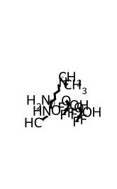 C#CCNC(=O)[C@@H](N)CCCCN(C)C.O=C(O)C(F)(F)F.O=C(O)C(F)(F)F